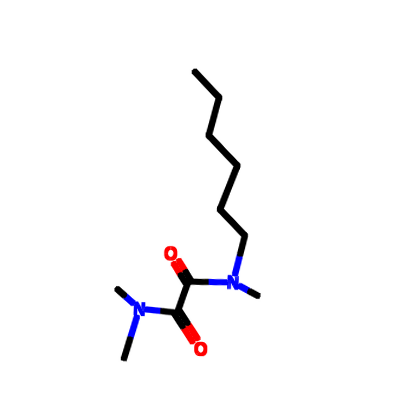 CCCCCCN(C)C(=O)C(=O)N(C)C